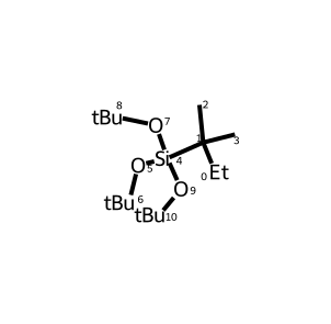 CCC(C)(C)[Si](OC(C)(C)C)(OC(C)(C)C)OC(C)(C)C